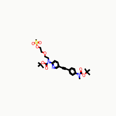 CN(C(=O)OC(C)(C)C)c1ccc(C#Cc2ccc(N(CCOCCOS(C)(=O)=O)C(=O)OC(C)(C)C)nc2)cc1